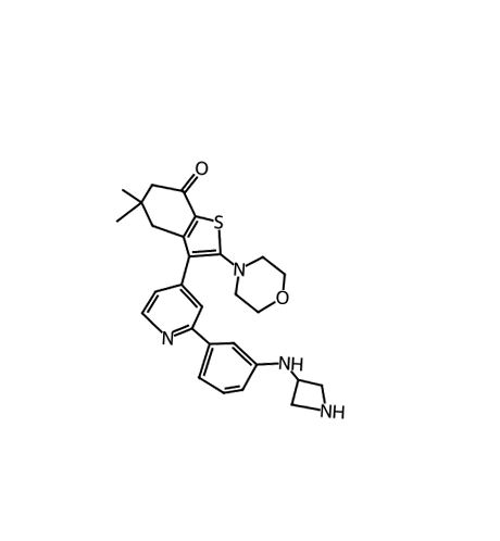 CC1(C)CC(=O)c2sc(N3CCOCC3)c(-c3ccnc(-c4cccc(NC5CNC5)c4)c3)c2C1